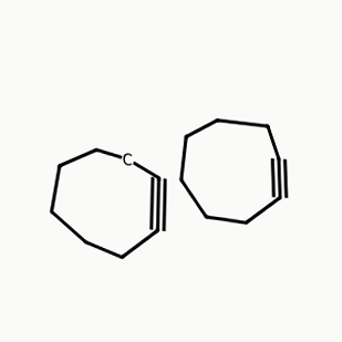 C1#CCCCCCC1.C1#CCCCCCC1